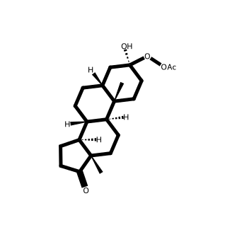 CC(=O)OO[C@@]1(O)CC[C@@]2(C)[C@H](CC[C@@H]3[C@@H]2CC[C@]2(C)C(=O)CC[C@@H]32)C1